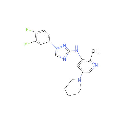 Cc1ncc(N2CCCCC2)cc1Nc1ncn(-c2ccc(F)c(F)c2)n1